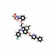 CC1Cc2c(OCc3ccc(-c4ccccc4)cn3)ccc3c2c(c(CCOc2ccccc2C(=O)NS(C)(=O)=O)n3Cc2ccc(Cl)cc2)S1